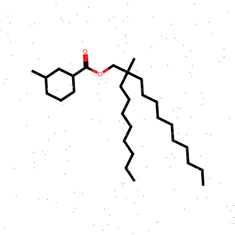 CCCCCCCCCCC(C)(CCCCCCCC)COC(=O)C1CCCC(C)C1